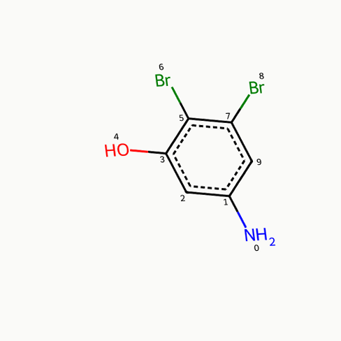 Nc1cc(O)c(Br)c(Br)c1